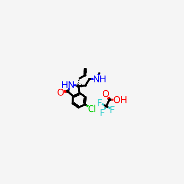 C=CC[C@@]1(CCNC)NC(=O)c2ccc(Cl)cc21.O=C(O)C(F)(F)F